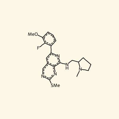 COc1cccc(-c2cc3cnc(SC)nc3c(NCC3CCCN3C)n2)c1F